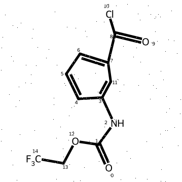 O=C(Nc1cccc(C(=O)Cl)c1)OCC(F)(F)F